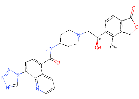 Cc1c([C@@H](O)CN2CCC(NC(=O)c3ccc(-n4cnnn4)c4ncccc34)CC2)ccc2c1COC2=O